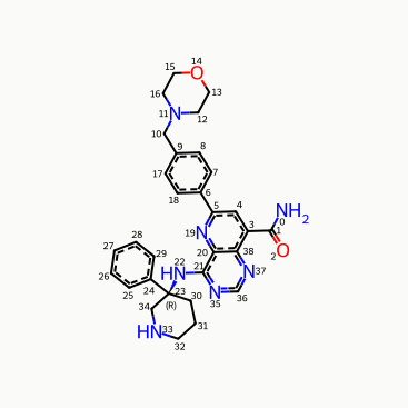 NC(=O)c1cc(-c2ccc(CN3CCOCC3)cc2)nc2c(N[C@@]3(c4ccccc4)CCCNC3)ncnc12